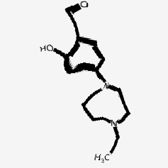 CCN1CCN(c2ccc(C=O)c(O)c2)CC1